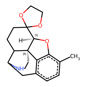 Cc1ccc2c3c1O[C@@H]1C4(CCC5C(C2)NCC[C@]351)OCCO4